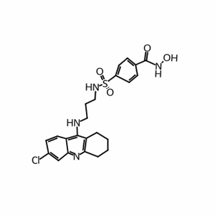 O=C(NO)c1ccc(S(=O)(=O)NCCCNc2c3c(nc4cc(Cl)ccc24)CCCC3)cc1